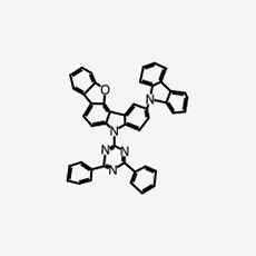 c1ccc(-c2nc(-c3ccccc3)nc(-n3c4ccc(-n5c6ccccc6c6ccccc65)cc4c4c5oc6ccccc6c5ccc43)n2)cc1